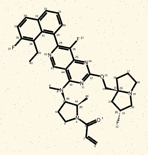 C=CC(=O)N1CC[C@@H](N(C)c2nc(OC[C@@]34CCCN3C[C@H](F)C4)nc3c(F)c(-c4cccc5ccc(F)c(CC)c45)ncc23)[C@H]1C